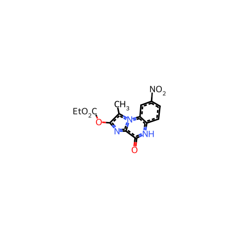 CCOC(=O)Oc1nc2c(=O)[nH]c3ccc([N+](=O)[O-])cc3n2c1C